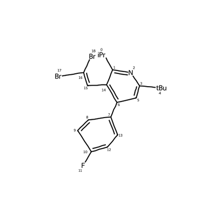 CC(C)c1nc(C(C)(C)C)cc(-c2ccc(F)cc2)c1C=C(Br)Br